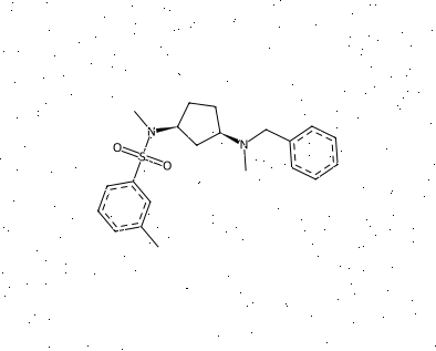 Cc1cccc(S(=O)(=O)N(C)[C@H]2CC[C@@H](N(C)Cc3ccccc3)C2)c1